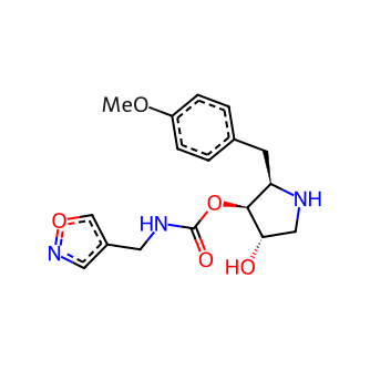 COc1ccc(C[C@H]2NC[C@H](O)[C@H]2OC(=O)NCc2cnoc2)cc1